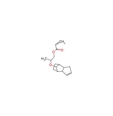 C=CC(=O)OCC(C)OC1C2CCC1C1CC=CC12